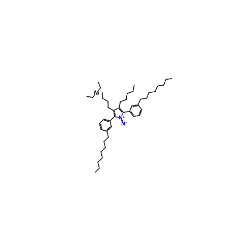 CCCCCCCCc1cccc(C2=C(CCCC)C(CCCCC)=C(c3cccc(CCCCCCCC)c3)[N+]2=[N-])c1.C[CH2][Ni][CH2]C